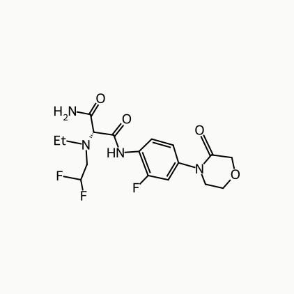 CCN(CC(F)F)[C@H](C(N)=O)C(=O)Nc1ccc(N2CCOCC2=O)cc1F